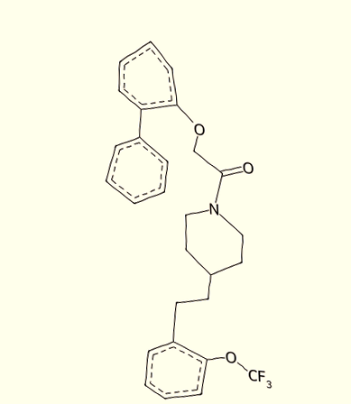 O=C(COc1ccccc1-c1ccccc1)N1CCC(CCc2ccccc2OC(F)(F)F)CC1